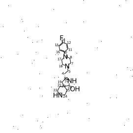 OC1N[C@@H](CCN2CCN(c3ccc(F)cc3)CC2)CC12CCNCC2